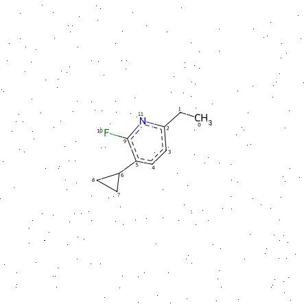 CCc1ccc(C2CC2)c(F)n1